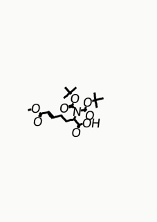 COC(=O)/C=C/CCC(C(=O)O)N(C(=O)OC(C)(C)C)C(=O)OC(C)(C)C